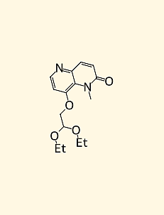 CCOC(COc1ccnc2ccc(=O)n(C)c12)OCC